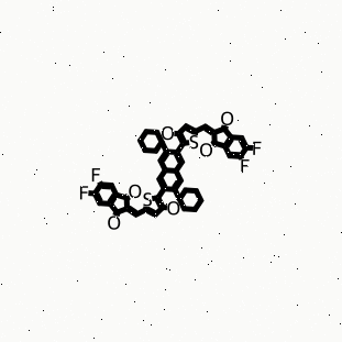 O=C1C(=Cc2cc3c(s2)C2=CC4C=C5C(=CC4C=C2C2(CCCCC2)O3)c2sc(C=C3C(=O)c4cc(F)c(F)cc4C3=O)cc2OC52CCCCC2)C(=O)c2cc(F)c(F)cc21